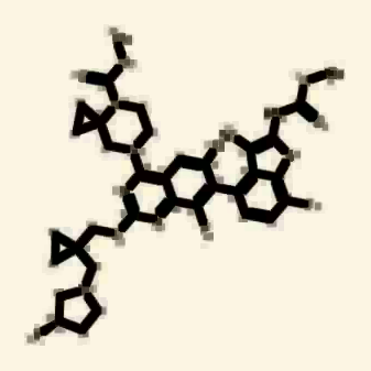 CC(C)(C)OC(=O)Nc1sc2c(F)ccc(-c3c(Cl)cc4c(N5CCN(C(=O)OC(C)(C)C)C6(CC6)C5)nc(OCC5(CN6CC[C@@H](F)C6)CC5)nc4c3F)c2c1C#N